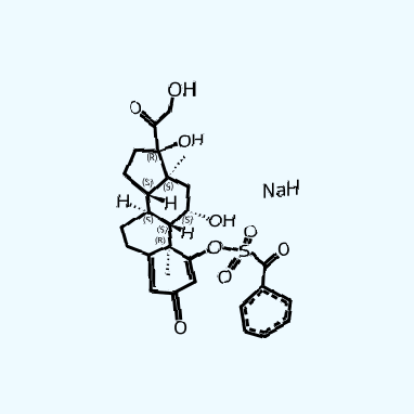 C[C@@]12C(=CC(=O)C=C1OS(=O)(=O)C(=O)c1ccccc1)CC[C@@H]1[C@@H]2[C@@H](O)C[C@@]2(C)[C@H]1CC[C@]2(O)C(=O)CO.[NaH]